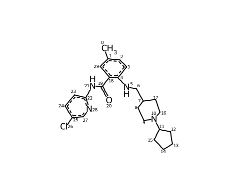 Cc1ccc(NCC2CCN(C3CCCC3)CC2)c(C(=O)Nc2ccc(Cl)cn2)c1